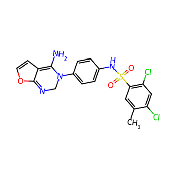 Cc1cc(S(=O)(=O)Nc2ccc(N3CN=c4occc4=C3N)cc2)c(Cl)cc1Cl